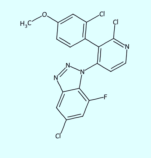 COc1ccc(-c2c(-n3nnc4cc(Cl)cc(F)c43)ccnc2Cl)c(Cl)c1